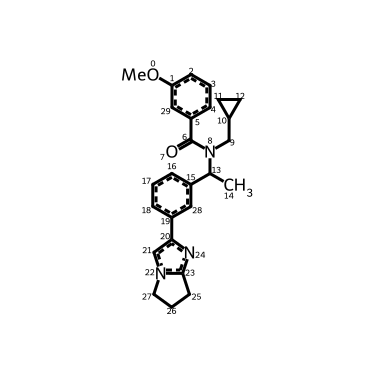 COc1cccc(C(=O)N(CC2CC2)C(C)c2cccc(-c3cn4c(n3)CCC4)c2)c1